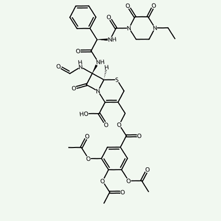 CCN1CCN(C(=O)N[C@@H](C(=O)N[C@]2(NC=O)C(=O)N3C(C(=O)O)=C(COC(=O)c4cc(OC(C)=O)c(OC(C)=O)c(OC(C)=O)c4)CS[C@@H]32)c2ccccc2)C(=O)C1=O